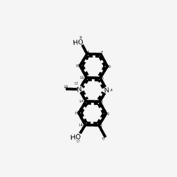 Cc1cc2nc3ccc(O)cc3[n+](C)c2cc1O